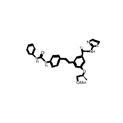 COC[C@H](C)Oc1cc(CCc2ccc(NC(=O)Nc3ccccc3)cc2)cc(C(=O)Nc2nccs2)c1